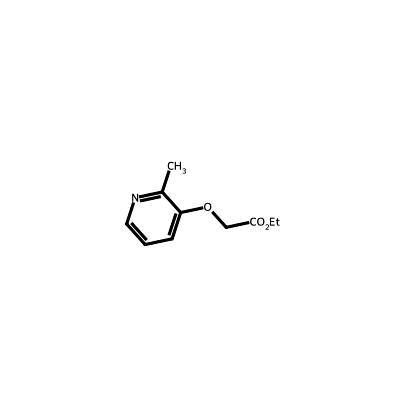 CCOC(=O)COc1cccnc1C